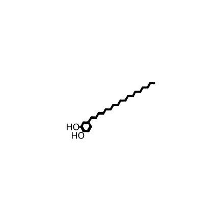 CCCCCCCCCCCCCCC=CC=Cc1ccc(O)c(O)c1